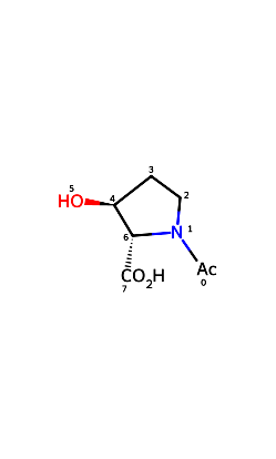 CC(=O)N1CC[C@H](O)[C@H]1C(=O)O